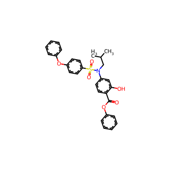 CC(C)CN(c1ccc(C(=O)Oc2ccccc2)c(O)c1)S(=O)(=O)c1ccc(Oc2ccccc2)cc1